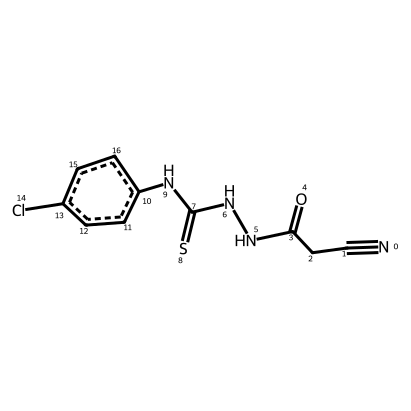 N#CCC(=O)NNC(=S)Nc1ccc(Cl)cc1